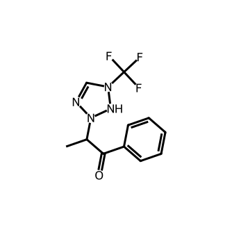 CC(C(=O)c1ccccc1)N1N=CN(C(F)(F)F)N1